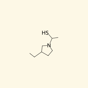 CCC1CCN(C(C)S)C1